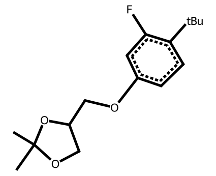 CC1(C)OCC(COc2ccc(C(C)(C)C)c(F)c2)O1